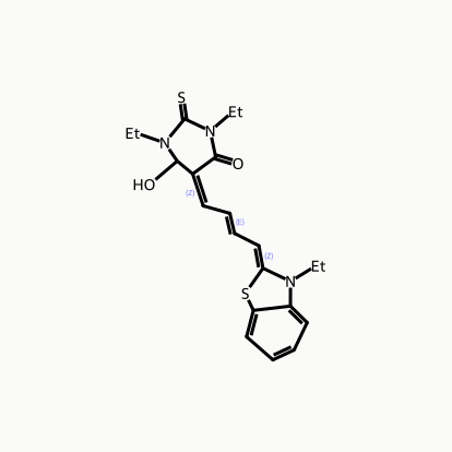 CCN1C(=O)\C(=C/C=C/C=C2\Sc3ccccc3N2CC)C(O)N(CC)C1=S